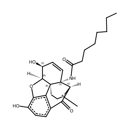 CCCCCCCC(=O)N[C@@]12C=C[C@H](O)[C@@H]3Oc4c(O)ccc5c4[C@@]31CCN(C)[C@@H]2C5=O